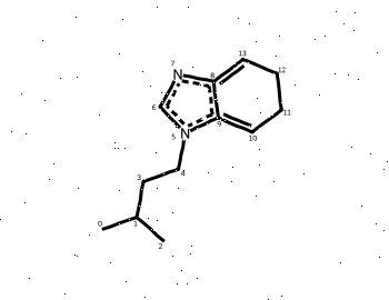 CC(C)CCn1cnc2c1=CCCC=2